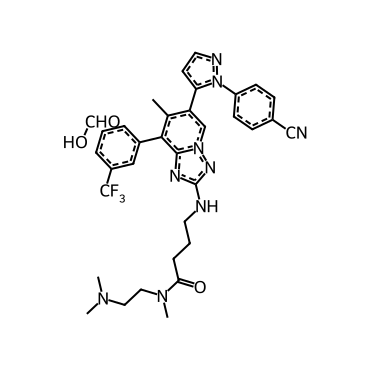 Cc1c(-c2ccnn2-c2ccc(C#N)cc2)cn2nc(NCCCC(=O)N(C)CCN(C)C)nc2c1-c1cccc(C(F)(F)F)c1.O=CO